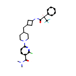 CN(C)C(=O)c1ccc(N2CCC(CC3CC(NC(=O)[C@](O)(c4ccccc4)C(F)(F)F)C3)CC2)nc1Cl